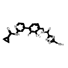 CC(C)(C)c1nc(C(=O)NCc2ccc(-c3ccnc(NC(=O)C4CC4)c3)c(F)c2C(F)(F)F)no1